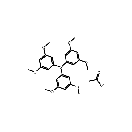 CC(=O)[O-].COc1cc(OC)cc([S+](c2cc(OC)cc(OC)c2)c2cc(OC)cc(OC)c2)c1